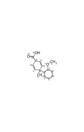 COc1ccccc1C1(C)C=CC(C(=O)O)C=C1